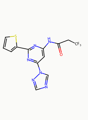 O=C(CC(F)(F)F)Nc1cc(-n2cncn2)nc(-c2cccs2)n1